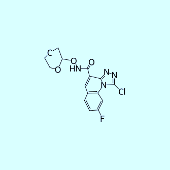 O=C(NOC1CCCCO1)c1cc2ccc(F)cc2n2c(Cl)nnc12